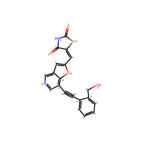 O=C1NC(=O)/C(=C\c2cc3cncc(C#Cc4ccccc4CO)c3o2)S1